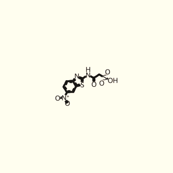 O=C(CS(=O)(=O)O)Nc1nc2ccc([N+](=O)[O-])cc2s1